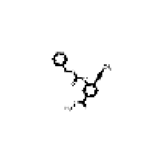 CC#Cc1ccc(C(=O)OC)cc1NC(=O)OCc1ccccc1